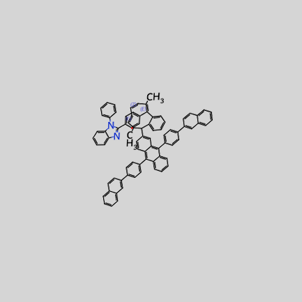 CC1=C(/c2ccc(-c3nc4ccccc4n3-c3ccccc3)cc2)c2ccccc2C(c2ccc3c(-c4ccc(-c5ccc6ccccc6c5)cc4)c4ccccc4c(-c4ccc(-c5ccc6ccccc6c5)cc4)c3c2)C(C)/C=C/C=C\1